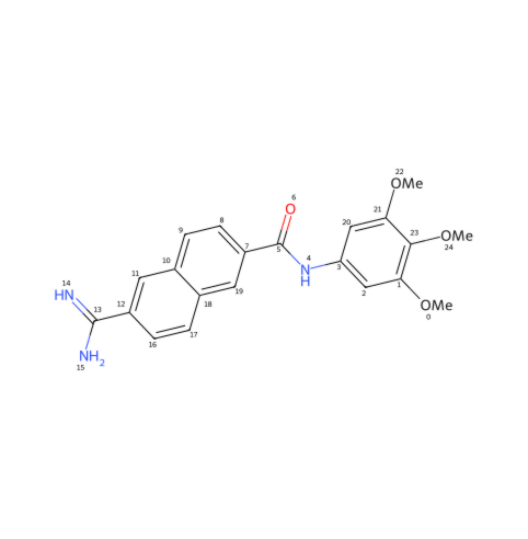 COc1cc(NC(=O)c2ccc3cc(C(=N)N)ccc3c2)cc(OC)c1OC